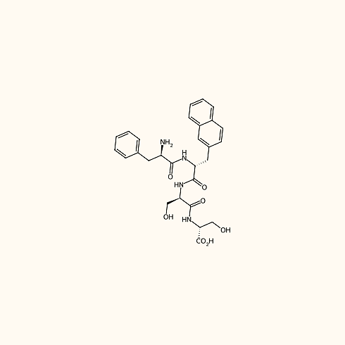 N[C@H](Cc1ccccc1)C(=O)N[C@H](Cc1ccc2ccccc2c1)C(=O)N[C@H](CO)C(=O)N[C@H](CO)C(=O)O